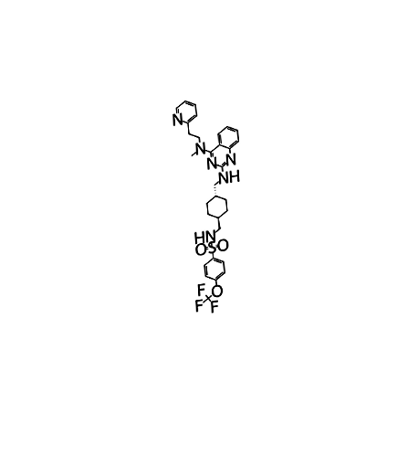 CN(CCc1ccccn1)c1nc(NC[C@H]2CC[C@H](CNS(=O)(=O)c3ccc(OC(F)(F)F)cc3)CC2)nc2ccccc12